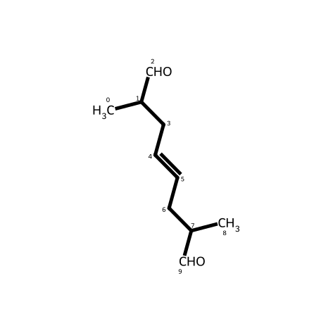 CC(C=O)CC=CCC(C)C=O